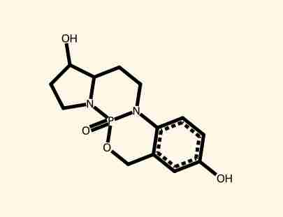 O=P12OCc3cc(O)ccc3N1CCC1C(O)CCN12